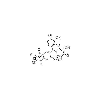 O=C(O)C1CC2C3(Cl)C(Cl)C(Cl)C(Cl)C2(C[C@@H]1c1c2ccc(=O)c(O)c-2oc2c(O)c(O)ccc12)C3(Cl)Cl